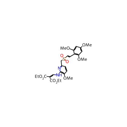 CCOC(=O)C(=CNc1nc(CS(=O)(=O)C=Cc2c(OC)cc(OC)cc2OC)ccc1OC)C(=O)OCC